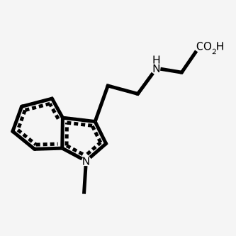 Cn1cc(CCNCC(=O)O)c2ccccc21